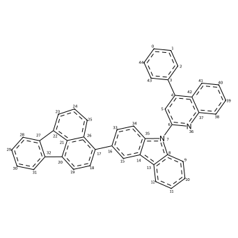 c1ccc(-c2cc(-n3c4ccccc4c4cc(-c5ccc6c7c(cccc57)-c5ccccc5-6)ccc43)nc3ccccc23)cc1